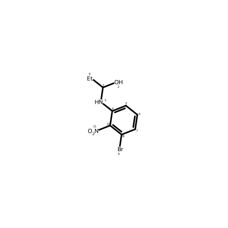 CCC(O)Nc1cccc(Br)c1[N+](=O)[O-]